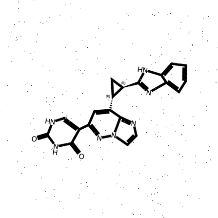 O=c1[nH]cc(-c2cc([C@@H]3C[C@H]3c3nc4ccccc4[nH]3)c3nccn3n2)c(=O)[nH]1